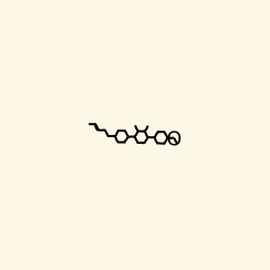 C/C=C/CCC1CCC(C2CCC(C3CCC(OC)CC3)C(C)C2C)CC1